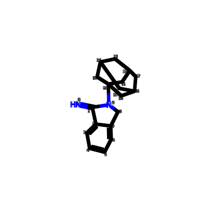 N=C1c2ccccc2CN1C12CC3CC(CC(C3)C1)C2